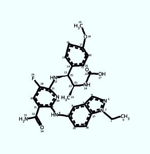 CCn1ncc2cc(Nc3nc(N[C@@H](c4ccc(OC)cc4)[C@H](C)NC(=O)O)c(F)cc3C(N)=O)ccc21